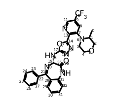 CC1COCCN1c1cc(C(F)(F)F)cnc1-c1nnc(N[C@H]2N=C(c3ccccc3)c3ccccc3NC2=O)o1